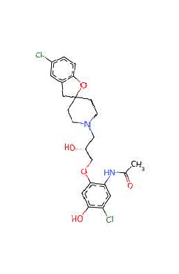 CC(=O)Nc1cc(Cl)c(O)cc1OC[C@H](O)CN1CCC2(CC1)Cc1cc(Cl)ccc1O2